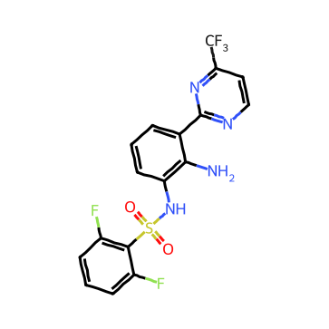 Nc1c(NS(=O)(=O)c2c(F)cccc2F)cccc1-c1nccc(C(F)(F)F)n1